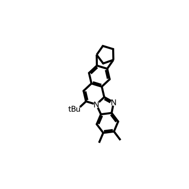 Cc1cc2nc3c4cc5c(cc4cc(C(C)(C)C)n3c2cc1C)C1CCC5C1